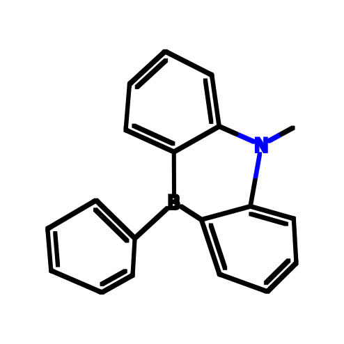 CN1c2ccccc2B(c2ccccc2)c2ccccc21